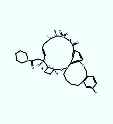 C[C@@H]1[C@@H](C)C/C=C/[C@@](O)(CC(=O)N2CCCCC2)[C@@H]2CC[C@H]2CN2CCCCc3cc(Cl)ccc3COc3ccc(cc32)C(=O)NS1(=O)=O